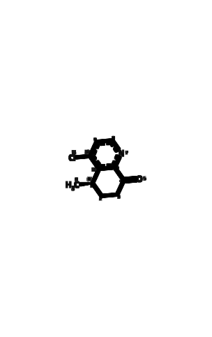 C[C@@H]1CCC(=O)c2nccc(Cl)c21